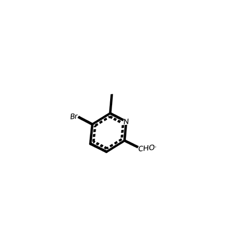 Cc1nc([C]=O)ccc1Br